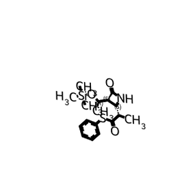 CC(C(=O)Sc1ccccc1)[C@H]1NC(=O)[C@@H]1[C@@H](C)O[Si](C)(C)C